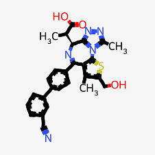 Cc1c(CO)sc2c1C(c1ccc(-c3cccc(C#N)c3)cc1)=N[C@@H](C(C)C(=O)O)c1nnc(C)n1-2